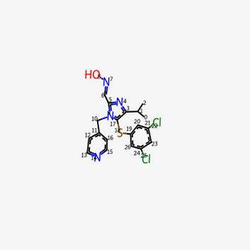 CC(C)c1nc(C=NO)n(Cc2ccncc2)c1Sc1cc(Cl)cc(Cl)c1